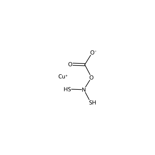 O=C([O-])ON(S)S.[Cu+]